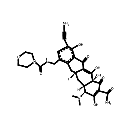 CN(C)[C@@H]1C(O)=C(C(N)=O)C(=O)[C@@]2(O)C(O)=C3C(=O)c4c(O)c(C#CN)cc(CNC(=O)N5CCOCC5)c4C[C@H]3C[C@@H]12